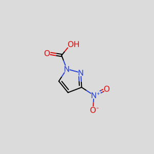 O=C(O)n1ccc([N+](=O)[O-])n1